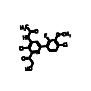 COc1c(Cl)ccc(-c2cc(NC(C)=O)c(Cl)c(C(=O)CO)n2)c1F